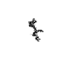 COc1cc2c(cc1OCCCOc1no[n+]([O-])c1S(=O)(=O)c1ccccc1)OC(O)C(C(=O)NCCc1ccccc1)=C2